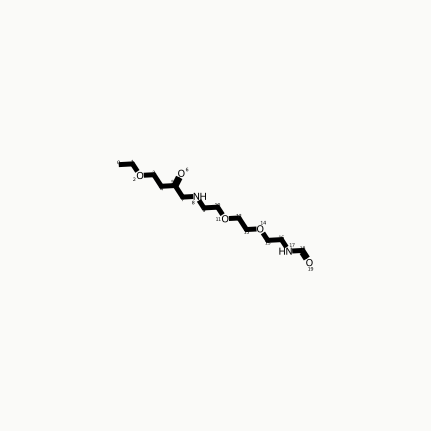 CCOCCC(=O)CNCCOCCOCCNC=O